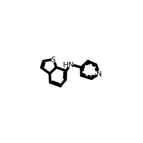 C1=CC2C=CSC2C(Nc2ccncc2)=C1